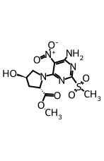 COC(=O)[C@@H]1C[C@@H](O)CN1c1nc(S(C)(=O)=O)nc(N)c1[N+](=O)[O-]